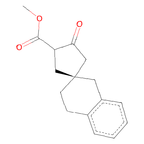 COC(=O)C1C[C@@]2(CCc3ccccc3C2)CC1=O